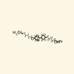 CC=CCCCCCOc1cnc(-c2ccc(CCCCCOCCC)cc2)nc1